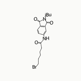 CCC(C)N1C(=O)c2ccc(NC(=O)CCCCCBr)cc2C1=O